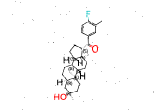 Cc1cc(C(=O)[C@H]2CC[C@H]3[C@@H]4CC[C@@H]5C[C@](C)(O)CC[C@]5(C)[C@H]4CC[C@]23C)ccc1F